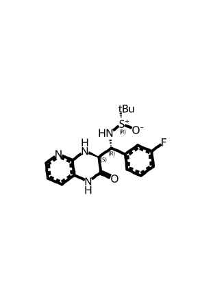 CC(C)(C)[S@+]([O-])N[C@H](c1cccc(F)c1)[C@@H]1Nc2ncccc2NC1=O